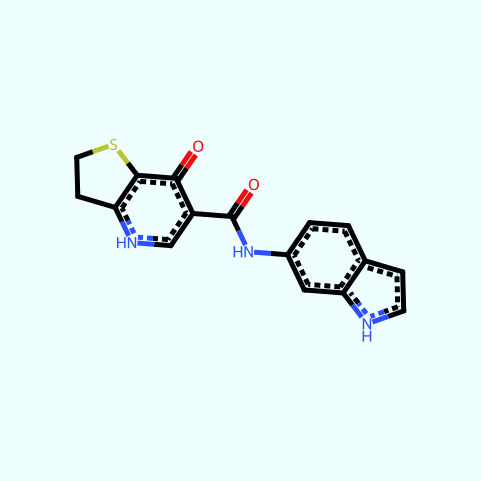 O=C(Nc1ccc2cc[nH]c2c1)c1c[nH]c2c(c1=O)SCC2